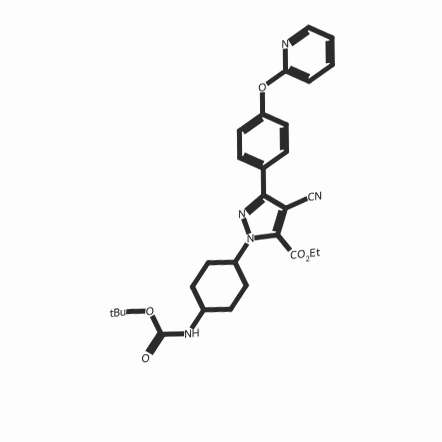 CCOC(=O)c1c(C#N)c(-c2ccc(Oc3ccccn3)cc2)nn1C1CCC(NC(=O)OC(C)(C)C)CC1